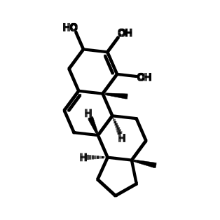 C[C@@]12CCC[C@H]1[C@@H]1CC=C3CC(O)C(O)=C(O)[C@]3(C)[C@H]1CC2